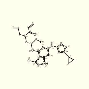 C=CC(=O)N(CCC)C[C@H](CF)Oc1nc(Nc2cnn(C3CC3)c2)nc2[nH]cc(Cl)c12